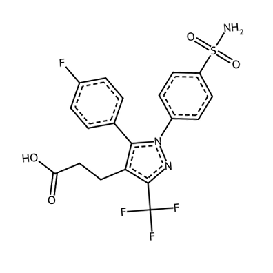 NS(=O)(=O)c1ccc(-n2nc(C(F)(F)F)c(CCC(=O)O)c2-c2ccc(F)cc2)cc1